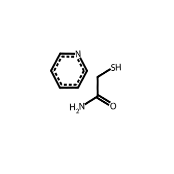 NC(=O)CS.c1ccncc1